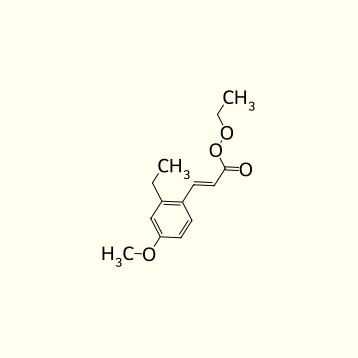 CCOOC(=O)/C=C/c1ccc(OC)cc1CC